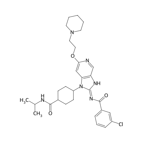 CC(C)NC(=O)C1CCC(n2/c(=N/C(=O)c3cccc(Cl)c3)[nH]c3cnc(OCCN4CCCCC4)cc32)CC1